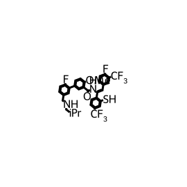 COc1ccc(-c2cc(CNCC(C)C)ccc2F)cc1C(=O)N/C(=C\c1ccc(F)c(C(F)(F)F)c1)c1ccc(C(F)(F)F)cc1S